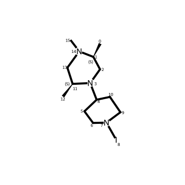 C[C@H]1CN(C2CCN(I)CC2)[C@@H](C)CN1C